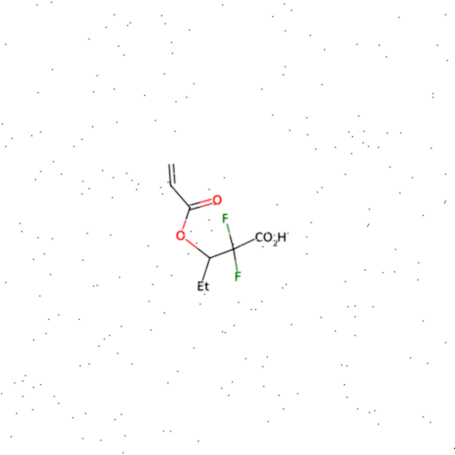 C=CC(=O)OC(CC)C(F)(F)C(=O)O